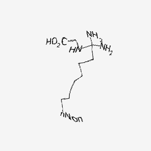 CCCCCCCCCCCCCCCC(N)(N)NCC(=O)O